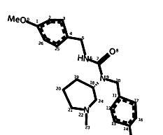 COc1ccc(CNC(=O)N(Cc2ccc(F)cc2)[C@H]2CCCN(C)C2)cc1